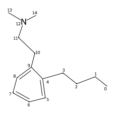 CCCCc1ccccc1CCN(C)C